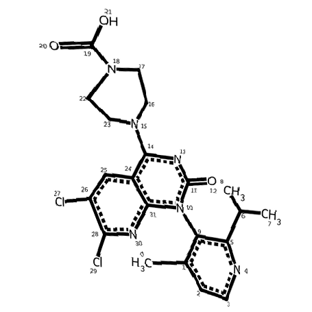 Cc1ccnc(C(C)C)c1-n1c(=O)nc(N2CCN(C(=O)O)CC2)c2cc(Cl)c(Cl)nc21